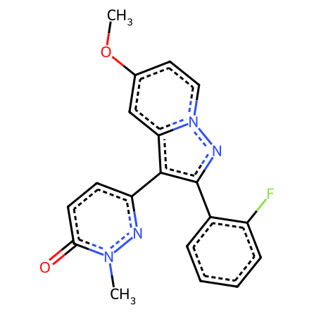 COc1ccn2nc(-c3ccccc3F)c(-c3ccc(=O)n(C)n3)c2c1